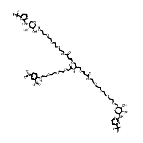 O=C(C=COCC(COC=CC(=O)NCCOCCOCCOCCOC[C@H]1OC[C@H](Nc2nccc(C(F)(F)F)n2)[C@@H](O)[C@H]1O)NC(=O)COCCOCCOCCNc1ccc([N+](=O)[O-])cc1[N+](=O)[O-])NCCOCCOCCOCCOC[C@H]1OC[C@H](Nc2nccc(C(F)(F)F)n2)[C@@H](O)[C@H]1O